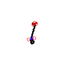 CO[Si](CCCCCCCCCCN1C(=O)c2ccccc2C1=O)(OC)OC